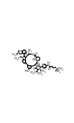 CCn1c(-c2ccccc2CN(C)C)c2c3cc(ccc31)-c1cc(O)cc(c1)C[C@H](NC(=O)C(C(C)C)N(C)C(=O)c1ccc(NC(=O)/C=C/CN(C)C)cn1)C(=O)N1CCC[C@H](N1)C(=O)OCC(C)(C)C2